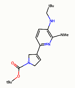 CNc1nc(C2=CCN(C(=O)OC(C)(C)C)C2)ccc1NCC(C)(C)C